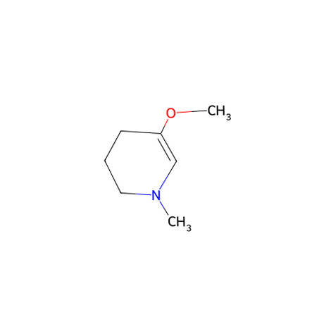 COC1=CN(C)CCC1